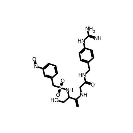 C=C(NCC(=O)NCc1ccc(NC(=N)N)cc1)C(CO)NS(=O)(=O)Cc1cccc(N=O)c1